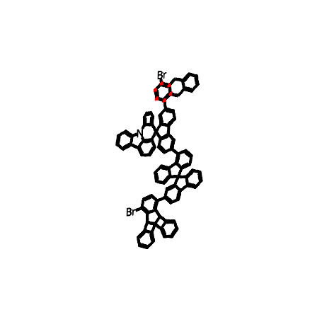 Brc1ccc(-c2ccc3c(c2)C2(c4ccc(-c5cccc6c5-c5ccccc5C65c6ccccc6-c6ccc(-c7ccc(Br)c8c7C7c9ccccc9C79c7ccccc7C89)cc65)cc4-3)c3ccccc3-n3c4ccccc4c4cccc2c43)c2c1C1c3ccccc3C2c2ccccc21